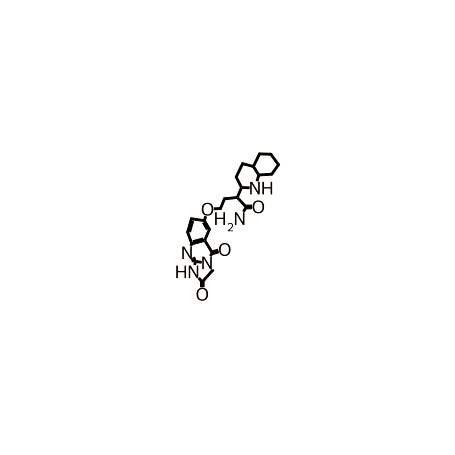 NC(=O)C(CCOc1ccc2nc3n(c(=O)c2c1)CC(=O)N3)C1CCC2CCCCC2N1